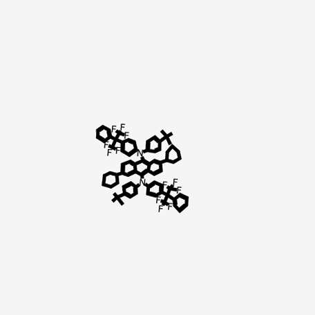 CC(C)(C)c1ccc(N(c2ccc(C(c3ccccc3)(C(F)(F)F)C(F)(F)F)cc2)c2c3ccc(C4CCCCC4)cc3c(N(c3ccc(C(C)(C)C)cc3)c3ccc(C(c4ccccc4)(C(F)(F)F)C(F)(F)F)cc3)c3ccc(C4CCCCC4)cc23)cc1